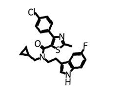 Cc1nc(-c2ccc(Cl)cc2)c(C(=O)N(CCc2c[nH]c3ccc(F)cc23)CC2CC2)s1